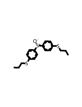 CCCSc1ccc([S+]([O-])c2ccc(SCCC)cc2)cc1